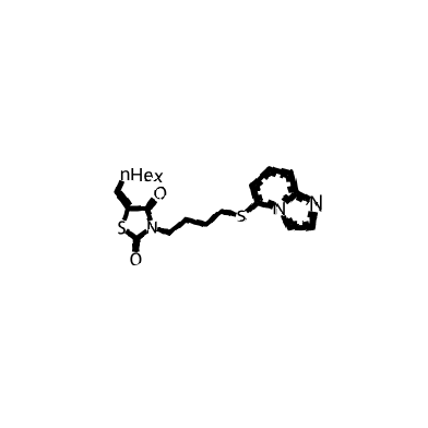 CCCCCCC=C1SC(=O)N(CCCCSc2cccc3nccn23)C1=O